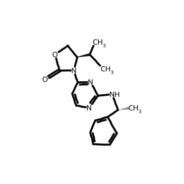 CC(C)[C@@H]1COC(=O)N1c1ccnc(N[C@H](C)c2ccccc2)n1